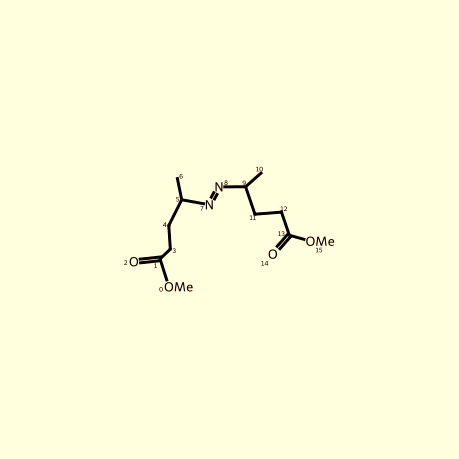 COC(=O)CCC(C)N=NC(C)CCC(=O)OC